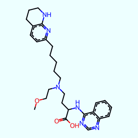 COCCN(CCCCCc1ccc2c(n1)NCCC2)CCC(Nc1ncnc2ccccc12)C(=O)O